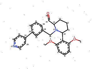 COc1cccc(OC)c1C1CCCC(C=O)N1Cc1cccc(-c2ccncc2)c1